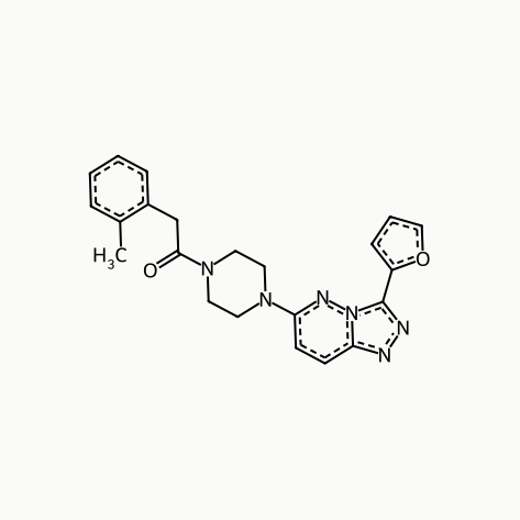 Cc1ccccc1CC(=O)N1CCN(c2ccc3nnc(-c4ccco4)n3n2)CC1